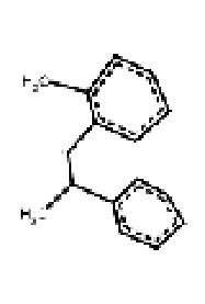 Cc1ccccc1[CH]C(C)c1ccccc1